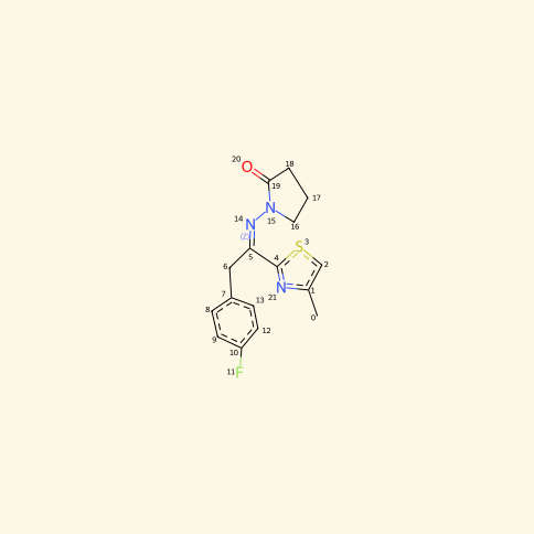 Cc1csc(/C(Cc2ccc(F)cc2)=N\N2CCCC2=O)n1